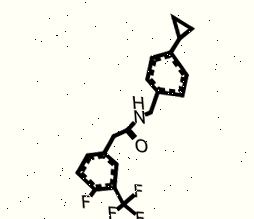 O=C(Cc1ccc(F)c(C(F)(F)F)c1)NCc1ccc(C2CC2)cc1